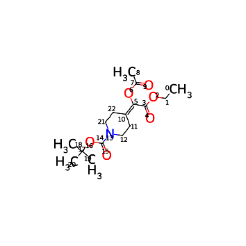 CCOC(=O)C(OC(C)=O)=C1CCN(C(=O)OC(C)(C)C)CC1